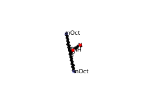 CCCCCCCC/C=C\CCCCCCCCOCC(COCCCCCCCC/C=C\CCCCCCCC)OC(=O)NCCCN(C)C